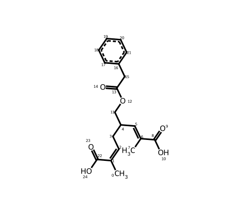 CC(=CCC(C=C(C)C(=O)O)COC(=O)Cc1ccccc1)C(=O)O